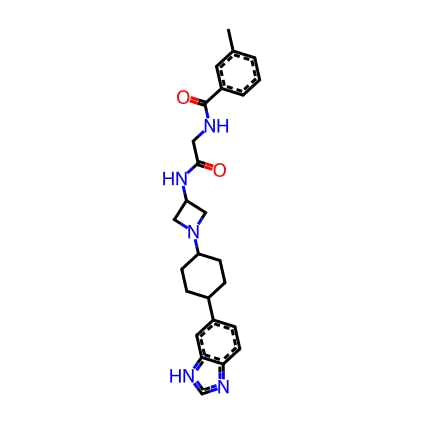 Cc1cccc(C(=O)NCC(=O)NC2CN(C3CCC(c4ccc5nc[nH]c5c4)CC3)C2)c1